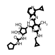 Cc1nc(NCC2CC2)nc(NC2C[C@H](NC(=O)NC3CCCC3)[C@@H](O)[C@H]2O)c1-c1nc2c(C3CC3)nccc2s1